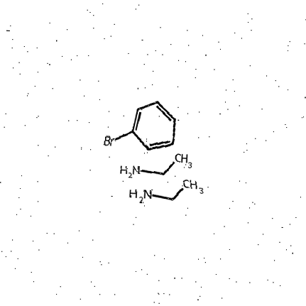 Brc1cc[c]cc1.CCN.CCN